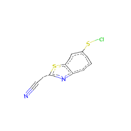 N#Cc1nc2ccc(SCl)cc2s1